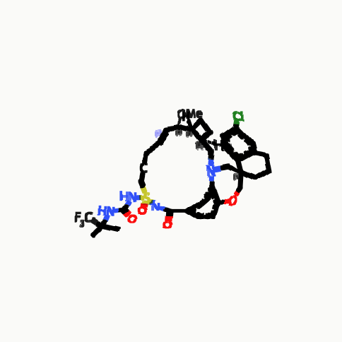 CO[C@H]1/C=C/CCCS(=O)(NC(=O)NC(C)(C)C(F)(F)F)=NC(=O)c2ccc3c(c2)N(C[C@@H]2CC[C@H]21)C[C@@]1(CCCc2cc(Cl)ccc21)CO3